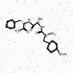 CCC(C)[C@H](NC(=O)[C@@H](N)Cc1ccc(NC(C)=O)cc1)C(=O)N[C@@H](Cc1ccccc1)C(N)=O